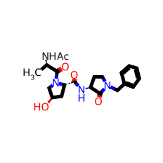 CC(=O)N[C@@H](C)C(=O)N1C[C@H](O)C[C@H]1C(=O)N[C@@H]1CCN(Cc2ccccc2)C1=O